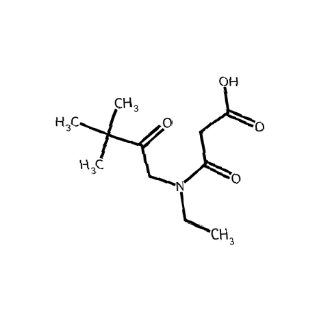 CCN(CC(=O)C(C)(C)C)C(=O)CC(=O)O